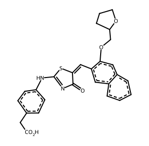 O=C(O)Cc1ccc(NC2=NC(=O)C(=Cc3cc4ccccc4cc3OCC3CCCO3)S2)cc1